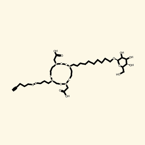 C#CCCCSSCCCN1CCCN(CC(=O)O)CCN(CCCCCCCCCCO[C@@H]2OC(CO)[C@@H](O)C(O)C2O)CCCN(CC(=O)O)CC1